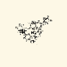 Cc1ccc(N2CC3CCC(C2)N3C)cc1C(=O)NC1(c2cc(-c3nccs3)cc3ncccc23)CC1